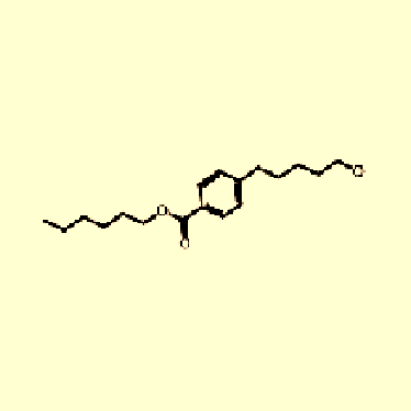 CCCCCCOC(=O)c1ccc(CCCCC[O])cc1